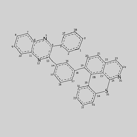 c1ccc(-c2nc3ccccc3nc2-c2cccc(-c3ccc4ccnc5c4c3-c3ccccc3S5)c2)cc1